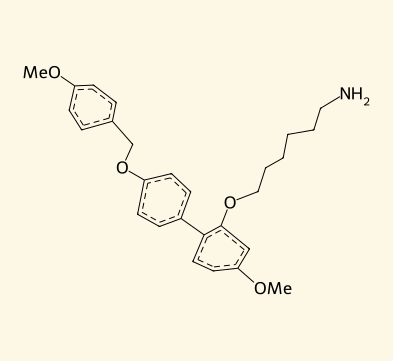 COc1ccc(COc2ccc(-c3ccc(OC)cc3OCCCCCCN)cc2)cc1